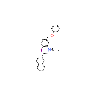 CN(CCc1ccc2ccccc2c1)c1cc(COc2ccccc2)ccc1I